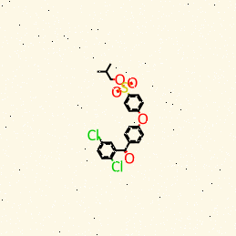 CC(C)COS(=O)(=O)c1ccc(Oc2ccc(C(=O)c3cc(Cl)ccc3Cl)cc2)cc1